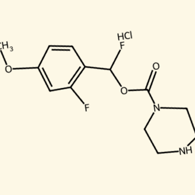 COc1ccc(C(F)OC(=O)N2CCNCC2)c(F)c1.Cl